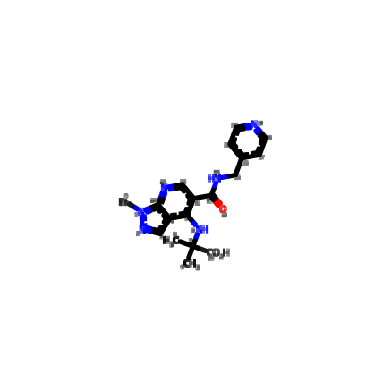 CCn1ncc2c(NC(C)(C)C(=O)O)c(C(=O)NCc3ccncc3)cnc21